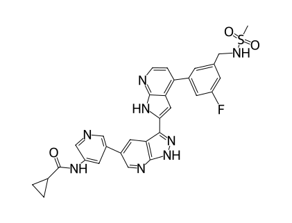 CS(=O)(=O)NCc1cc(F)cc(-c2ccnc3[nH]c(-c4n[nH]c5ncc(-c6cncc(NC(=O)C7CC7)c6)cc45)cc23)c1